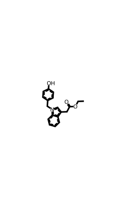 CCOC(=O)Cc1cn(Cc2ccc(O)cc2)c2ccccc12